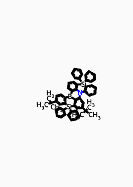 CC(C)(C)c1ccc2c(c1)[Si](c1ccccc1)(c1ccccc1)c1cc(C(C)(C)C)cc3c1B2c1cccc2c1N3c1ccccc1[Si]2(c1ccccc1)c1ccccc1